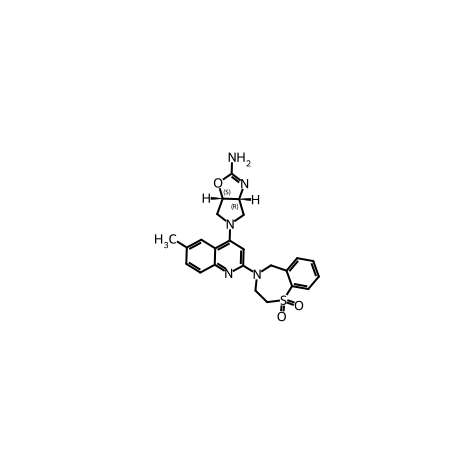 Cc1ccc2nc(N3CCS(=O)(=O)c4ccccc4C3)cc(N3C[C@@H]4OC(N)=N[C@@H]4C3)c2c1